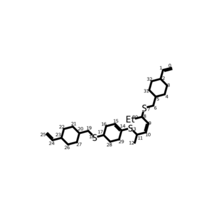 C=CC1CCC(CSC(/C=C\C(C)SC2=CCC(SCC3CCC(C=C)CC3)CC2)CC)CC1